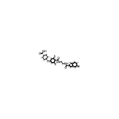 O=C(NCCNC(=O)c1c(F)cc(O[C@H]2CC[C@@H](C(=O)O)CC2)cc1F)c1cc2cc(F)ccc2s1